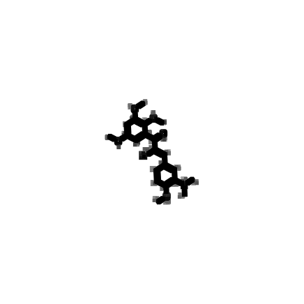 COc1cc(OC)c(OC)c(C(=O)C(Br)=Cc2ccc(OC)c(N(C)C)c2)c1